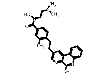 Cc1cc(C(=O)N(C)CCN(C)C)ccc1CCc1cnc2c(N)nc3ccccc3c2c1